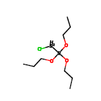 CCCO[Si](OCCC)(OCCC)[SiH2]Cl